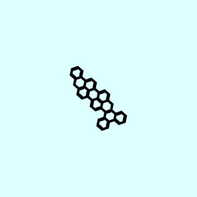 c1ccc2c(c1)Cc1ccc3c4ccc5c6c(ccc(c7ccc-2c1c73)c64)Cc1c-5c2ccccc2c2ccccc12